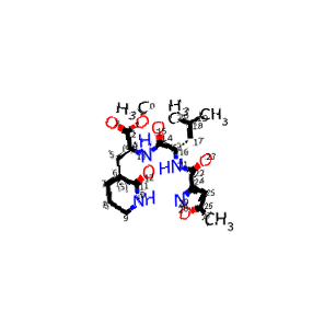 COC(=O)[C@H](C[C@@H]1CCCNC1=O)NC(=O)[C@H](CC(C)C)NC(=O)c1cc(C)on1